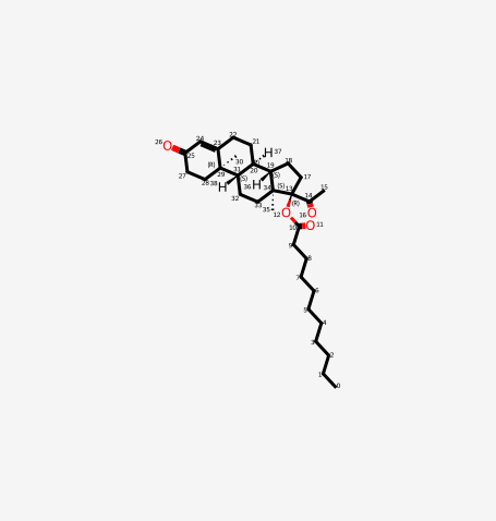 CCCCCCCCCCC(=O)O[C@]1(C(C)=O)CC[C@H]2[C@@H]3CCC4=CC(=O)CC[C@]4(C)[C@H]3CC[C@@]21C